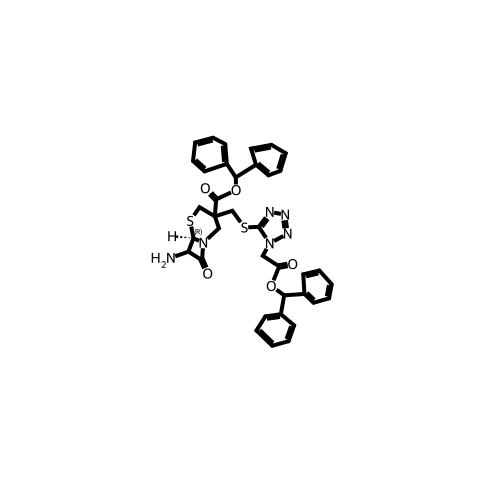 NC1C(=O)N2CC(CSc3nnnn3CC(=O)OC(c3ccccc3)c3ccccc3)(C(=O)OC(c3ccccc3)c3ccccc3)CS[C@H]12